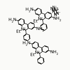 CC[n+]1c(-c2ccccc2)c2cc(N)ccc2c2ccc(N)cc21.CC[n+]1c(-c2ccccc2)c2cc(N)ccc2c2ccc(N)cc21.CC[n+]1c(-c2ccccc2)c2cc(N)ccc2c2ccc(N)cc21.Cl.[N-]=[N+]=[N-].[N-]=[N+]=[N-]